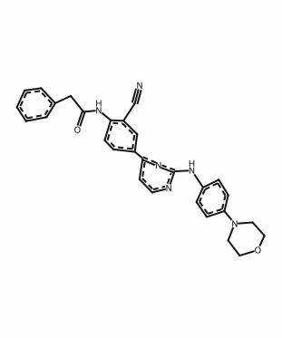 N#Cc1cc(-c2ccnc(Nc3ccc(N4CCOCC4)cc3)n2)ccc1NC(=O)Cc1ccccc1